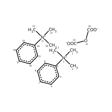 C[N+](C)(C)c1ccccc1.C[N+](C)(C)c1ccccc1.O=C([O-])OC(=O)[O-]